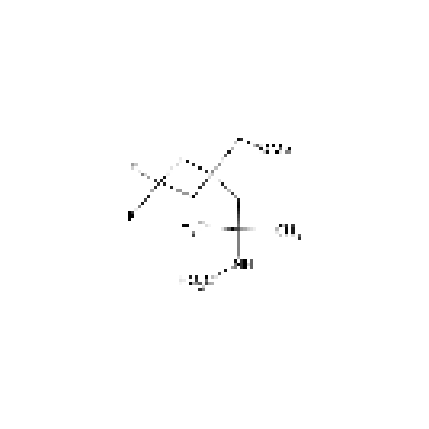 COCC1(CC(C)(C)NC(=O)O)CC(F)(F)C1